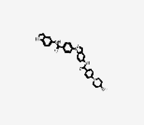 O=C(Nc1ccc2[nH]ccc2c1)c1ccc(-n2ncc3cc(NC(=O)c4ccc(N5CCC(O)CC5)cc4)ccc32)cc1